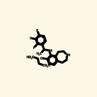 CC(Nc1c(Cl)ccc2c1CCNCC2)c1ccc(F)c(F)c1F.O=C(O)CCC(=O)O